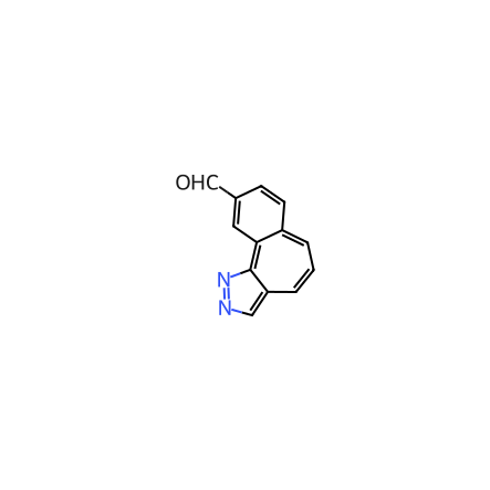 O=Cc1ccc2cccc3cnnc-3c2c1